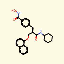 O=C(NC1CCCCC1)/C(=C/c1ccc(C(=O)NO)cc1)COc1cccc2ccccc12